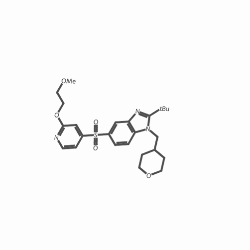 COCCOc1cc(S(=O)(=O)c2ccc3c(c2)nc(C(C)(C)C)n3CC2CCOCC2)ccn1